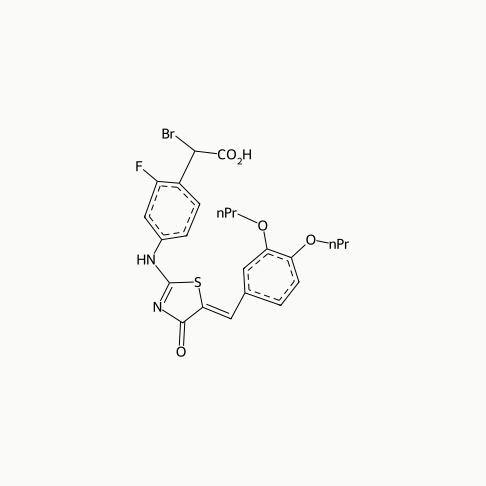 CCCOc1ccc(/C=C2\SC(Nc3ccc(C(Br)C(=O)O)c(F)c3)=NC2=O)cc1OCCC